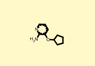 Nc1ncccc1OC1CCCC1